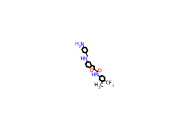 Cc1cc(NC(=O)c2cc3cc(NCc4ccc(N)cc4)ccc3o2)ccc1C(F)(F)F